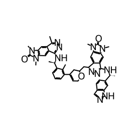 Cc1c(C2=CCOC(Cc3nnc(N[C@H](C)c4ccc5cn[nH]c5c4)c4cc5c(cc34)n(C)c(=O)n5C)C2)cccc1[C@@H](C)Nc1nnc(C)c2cc3c(cc12)n(C)c(=O)n3C